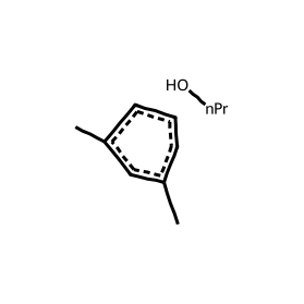 CCCO.Cc1cccc(C)c1